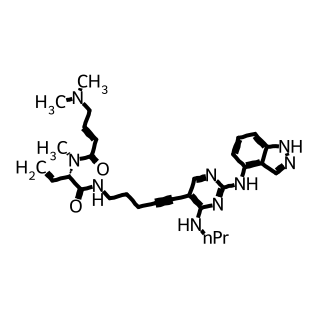 C=C[C@@H](C(=O)NCCCC#Cc1cnc(Nc2cccc3[nH]ncc23)nc1NCCC)N(C)C(=O)/C=C/CN(C)C